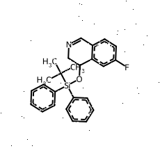 CC(C)(C)[Si](OC1CN=Cc2ccc(F)cc21)(c1ccccc1)c1ccccc1